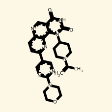 C=C(C)N1CCC(n2c(=O)[nH]c(=O)c3cnc4ccc(-c5cnc(N6CCOCC6)nc5)nc4c32)CC1